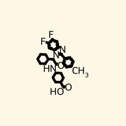 Cc1ccc(-c2nc3cc(F)c(F)cc3n2C(C(=O)NC2CCC(C(=O)O)CC2)C2CCCCC2)cc1